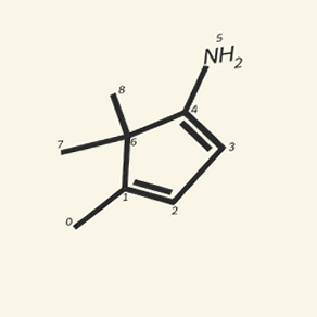 CC1=CC=C(N)C1(C)C